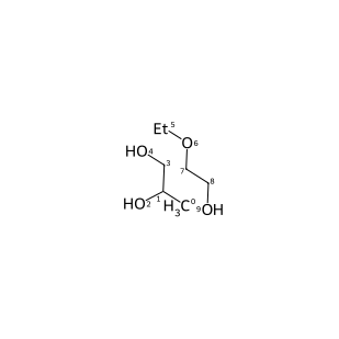 CC(O)CO.CCOCCO